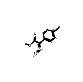 COC(=O)C(=S=O)c1ccc(C)cc1